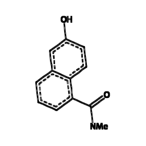 CNC(=O)c1cccc2cc(O)ccc12